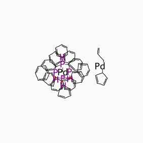 C=C[CH2][Pd][CH]1C=CC=C1.c1ccc([PH](c2ccccc2)(c2ccccc2)[Pd]([PH](c2ccccc2)(c2ccccc2)c2ccccc2)([PH](c2ccccc2)(c2ccccc2)c2ccccc2)[PH](c2ccccc2)(c2ccccc2)c2ccccc2)cc1